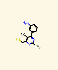 Cc1nc(CS)c(C#N)c(-c2cccc(N)c2)n1